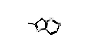 CC1=Nc2ccnnc2C1